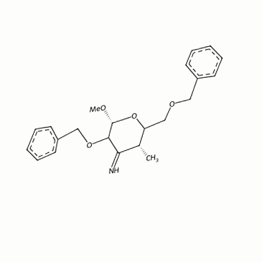 CO[C@@H]1OC(COCc2ccccc2)[C@H](C)C(=N)C1OCc1ccccc1